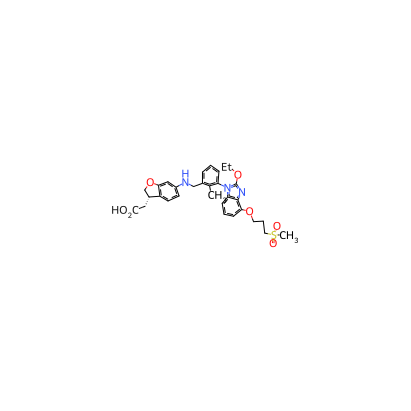 CCOc1nc2c(OCCCS(C)(=O)=O)cccc2n1-c1cccc(CNc2ccc3c(c2)OC[C@H]3CC(=O)O)c1C